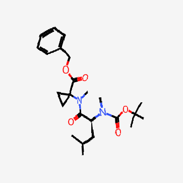 CC(C)C[C@@H](C(=O)N(C)C1(C(=O)OCc2ccccc2)CC1)N(C)C(=O)OC(C)(C)C